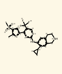 Cc1sc(-c2nc(Nc3cc4c(cc3C3CC3)CNCC4)ncc2C(F)(F)F)cc1S(C)(=O)=O